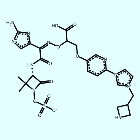 CC1(C)[C@H](NC(=O)/C(=N\OC(COc2ccc(-n3cc[n+](CC4CNC4)c3)nc2)C(=O)O)c2csc(N)n2)C(=O)N1OS(=O)(=O)[O-]